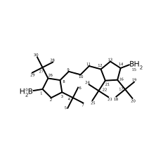 BC1CC(C(C)(C)C)C(CCCC2CC(B)C(C(C)(C)C)C2C(C)(C)C)C1C(C)(C)C